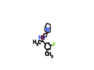 C=C(NCC1CC2CCC(C1)N2CC=O)c1cc(C)cc(F)c1